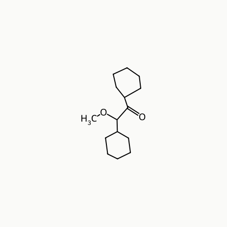 COC(C(=O)C1CCCCC1)C1CCCCC1